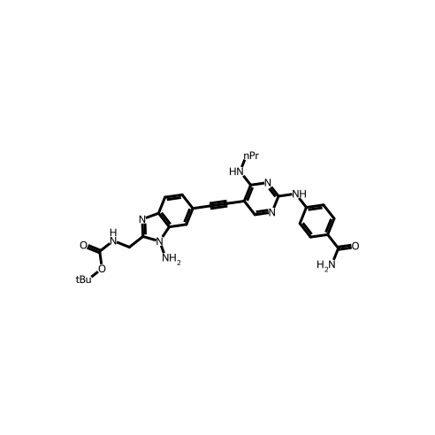 CCCNc1nc(Nc2ccc(C(N)=O)cc2)ncc1C#Cc1ccc2nc(CNC(=O)OC(C)(C)C)n(N)c2c1